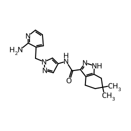 CC1(C)CCc2c(C(=O)Nc3cnn(Cc4cccnc4N)c3)n[nH]c2C1